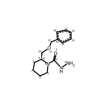 NNC(=O)N1CCCC[C@H]1COCc1ccccc1